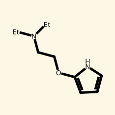 CCN(CC)CCOc1ccc[nH]1